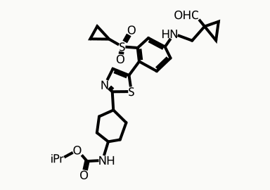 CC(C)OC(=O)NC1CCC(c2ncc(-c3ccc(NCC4(C=O)CC4)cc3S(=O)(=O)C3CC3)s2)CC1